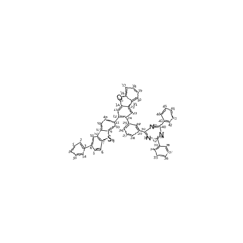 c1ccc(-c2ccc3sc4cc(-c5cc6oc7ccccc7c6cc5-c5cccc(-c6nc(-c7ccccc7)nc(-c7ccccc7)n6)c5)ccc4c3c2)cc1